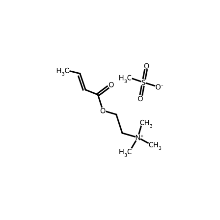 CC=CC(=O)OCC[N+](C)(C)C.CS(=O)(=O)[O-]